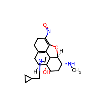 CN[C@@H]1CC[C@@]2(O)[C@H]3CC4=C5C(=C(N=O)CC4)O[C@@H]1[C@]52CCN3CC1CC1